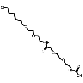 O=C(O)NCCOCCOCC(=O)NCCOCCOCCCCCCCl